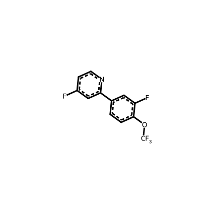 Fc1ccnc(-c2ccc(OC(F)(F)F)c(F)c2)c1